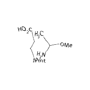 CCCCCCCC(=O)O.COC(C)N